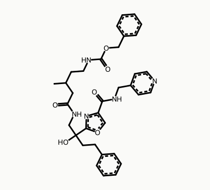 CC(CCNC(=O)OCc1ccccc1)CC(=O)NCC(O)(CCc1ccccc1)c1nc(C(=O)NCc2ccncc2)co1